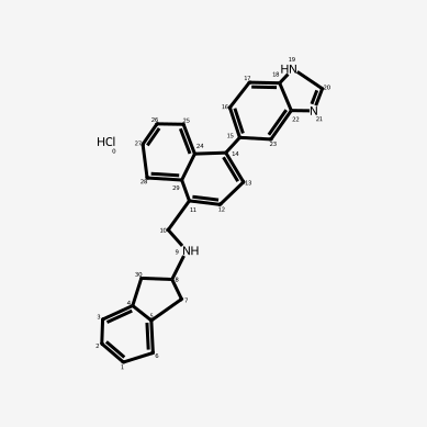 Cl.c1ccc2c(c1)CC(NCc1ccc(-c3ccc4[nH]cnc4c3)c3ccccc13)C2